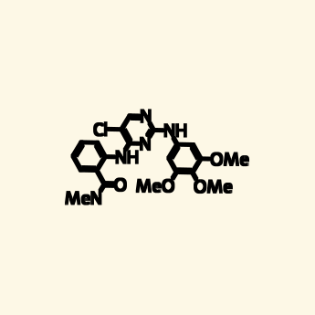 CNC(=O)c1ccccc1Nc1nc(Nc2cc(OC)c(OC)c(OC)c2)ncc1Cl